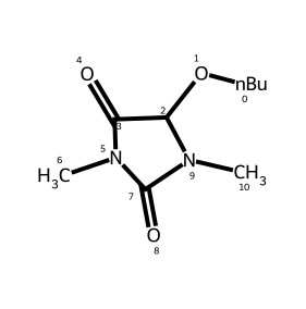 CCCCOC1C(=O)N(C)C(=O)N1C